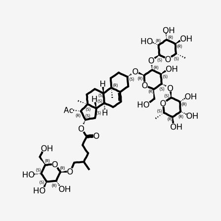 CC(=O)[C@H]1[C@@H](OC(=O)CCC(C)CO[C@@H]2O[C@H](CO)[C@@H](O)[C@H](O)[C@H]2O)C[C@H]2[C@@H]3CC=C4C[C@@H](O[C@@H]5O[C@H](CO)[C@@H](O[C@@H]6O[C@@H](C)[C@H](O)[C@@H](O)[C@H]6O)[C@H](O)[C@H]5O[C@@H]5O[C@@H](C)[C@H](O)[C@@H](O)[C@H]5O)CC[C@]4(C)[C@H]3CC[C@@]21C